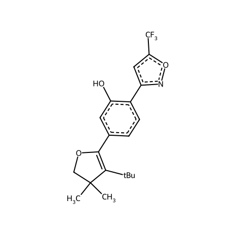 CC(C)(C)C1=C(c2ccc(-c3cc(C(F)(F)F)on3)c(O)c2)OCC1(C)C